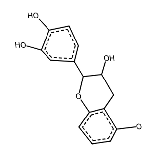 Oc1ccc(C2Oc3cccc(O)c3CC2O)cc1O